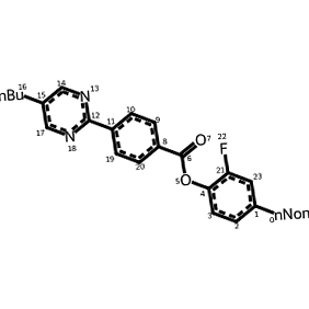 CCCCCCCCCc1ccc(OC(=O)c2ccc(-c3ncc(CCCC)cn3)cc2)c(F)c1